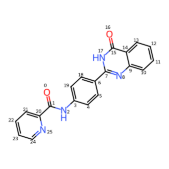 O=C(Nc1ccc(-c2nc3ccccc3c(=O)[nH]2)cc1)c1ccccn1